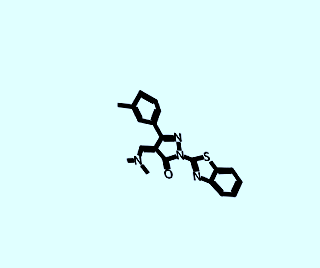 Cc1cccc(C2=NN(c3nc4ccccc4s3)C(=O)C2=CN(C)C)c1